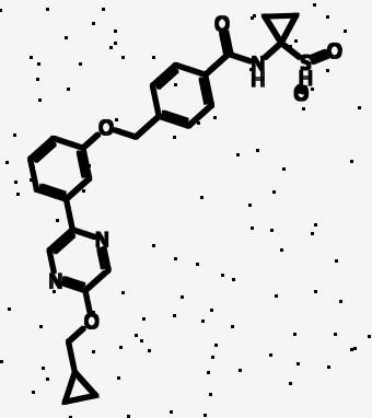 O=C(NC1([SH](=O)=O)CC1)c1ccc(COc2cccc(-c3cnc(OCC4CC4)cn3)c2)cc1